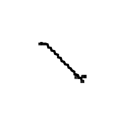 CCCCCCCCCCCCCCCCCCCCCCCCCCCC=CNC(O)CC